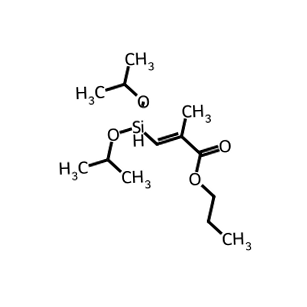 CCCOC(=O)C(C)=C[SiH](OC(C)C)OC(C)C